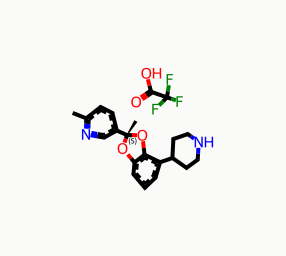 Cc1ccc([C@@]2(C)Oc3cccc(C4CCNCC4)c3O2)cn1.O=C(O)C(F)(F)F